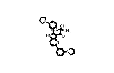 CC(C)(C)C(=O)c1c(-c2cccc(N3CCCC3)c2)[nH]c2ncc(-c3cccc(N4CCCC4)c3)nc12